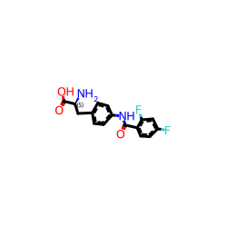 N[C@@H](Cc1ccc(NC(=O)c2ccc(F)cc2F)cc1)C(=O)O